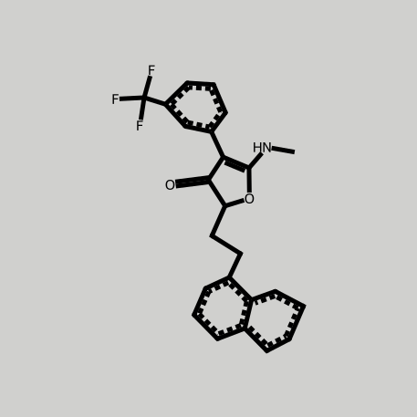 CNC1=C(c2cccc(C(F)(F)F)c2)C(=O)C(CCc2cccc3ccccc23)O1